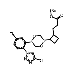 CC(C)(C)OC(=O)CCC1CCC1N1CON(c2cc(Cl)ccc2-n2cc(Cl)nn2)CO1